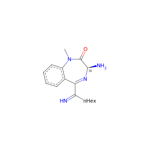 CCCCCCC(=N)C1=N[C@H](N)C(=O)N(C)c2ccccc21